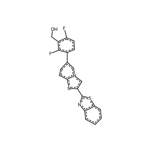 OCc1c(F)ccc(-c2ccc3nc(-c4nc5ccccc5s4)cn3c2)c1F